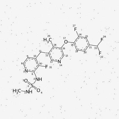 CNS(=O)(=O)Nc1nccc(Cc2cncc(Oc3ccc(C(F)F)cc3F)c2C)c1F